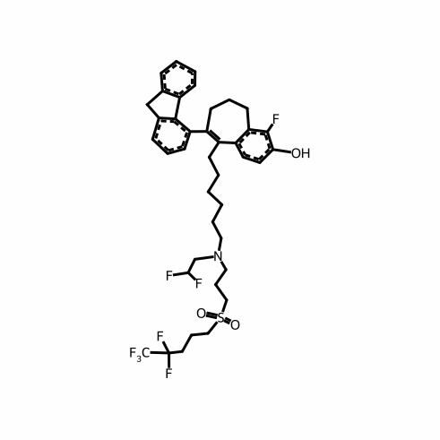 O=S(=O)(CCCN(CCCCCCC1=C(c2cccc3c2-c2ccccc2C3)CCCc2c1ccc(O)c2F)CC(F)F)CCCC(F)(F)C(F)(F)F